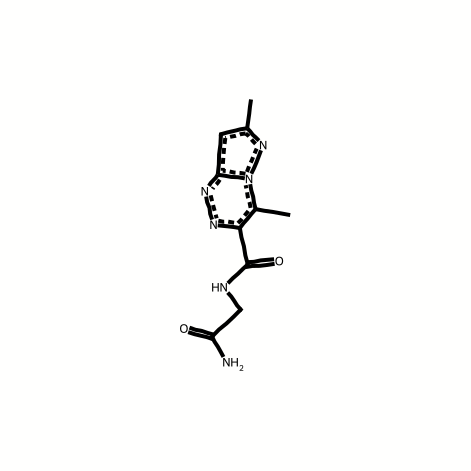 Cc1cc2nnc(C(=O)NCC(N)=O)c(C)n2n1